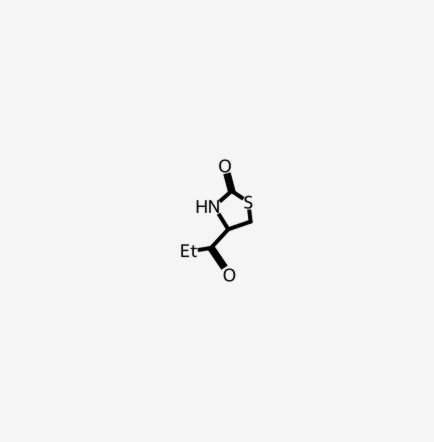 CCC(=O)C1CSC(=O)N1